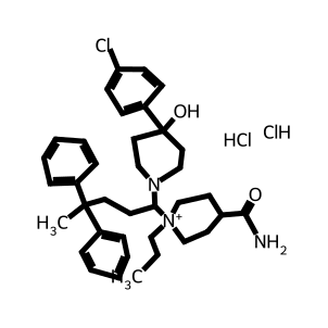 CCC[N+]1(C(CCC(C)(c2ccccc2)c2ccccc2)N2CCC(O)(c3ccc(Cl)cc3)CC2)CCC(C(N)=O)CC1.Cl.Cl